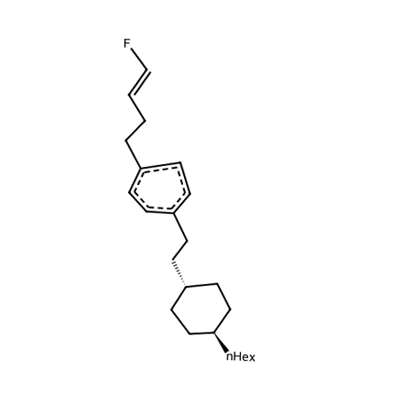 CCCCCC[C@H]1CC[C@H](CCc2ccc(CCC=CF)cc2)CC1